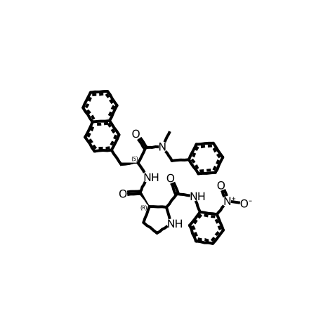 CN(Cc1ccccc1)C(=O)[C@H](Cc1ccc2ccccc2c1)NC(=O)[C@@H]1CCNC1C(=O)Nc1ccccc1[N+](=O)[O-]